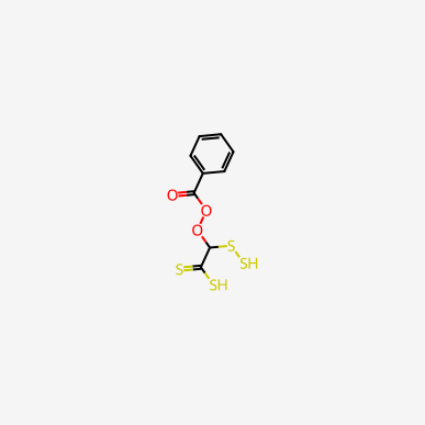 O=C(OOC(SS)C(=S)S)c1ccccc1